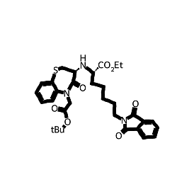 CCOC(=O)[C@H](CCCCCN1C(=O)c2ccccc2C1=O)N[C@H]1CSc2ccccc2N(CC(=O)OC(C)(C)C)C1=O